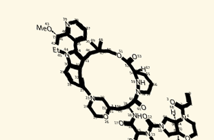 C=CC(=O)N1CCO[C@H]2CN(C(=O)N(C)C(C(=O)N[C@H]3C[C@H]4CN(CCO4)c4ccc5c(c4)c(c(-c4cccnc4[C@H](C)OC)n5CC)CC(C)(C)COC(=O)[C@@H]4CCCN(N4)C3=O)C(C)C)C[C@H]21